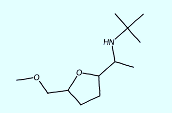 COCC1CCC(C(C)NC(C)(C)C)O1